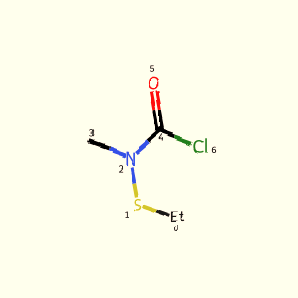 CCSN(C)C(=O)Cl